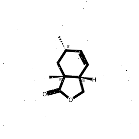 C[C@@H]1C=C[C@@H]2COC(=O)[C@]2(C)C1